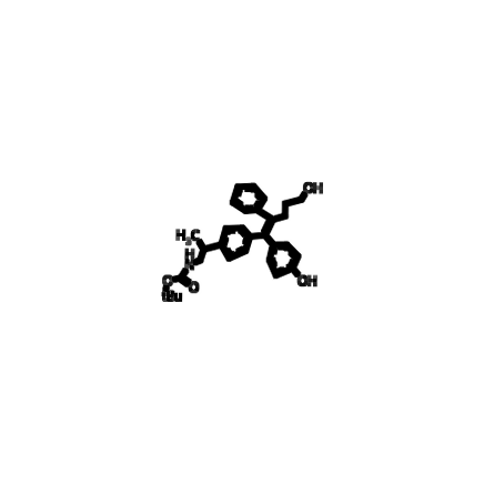 CC(CNC(=O)OC(C)(C)C)c1ccc(/C(=C(/CCCO)c2ccccc2)c2ccc(O)cc2)cc1